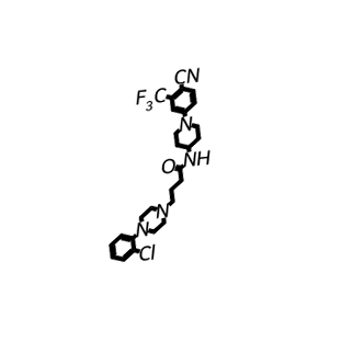 N#Cc1ccc(N2CCC(NC(=O)CCCN3CCN(c4ccccc4Cl)CC3)CC2)cc1C(F)(F)F